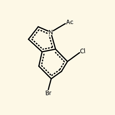 CC(=O)n1ccc2cc(Br)cc(Cl)c21